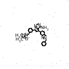 CN(C)[S+]([O-])NCc1cccc(-c2cc(-c3ccc4cn(Cc5ccccc5)nc4c3)c3c(N)ncnn23)c1